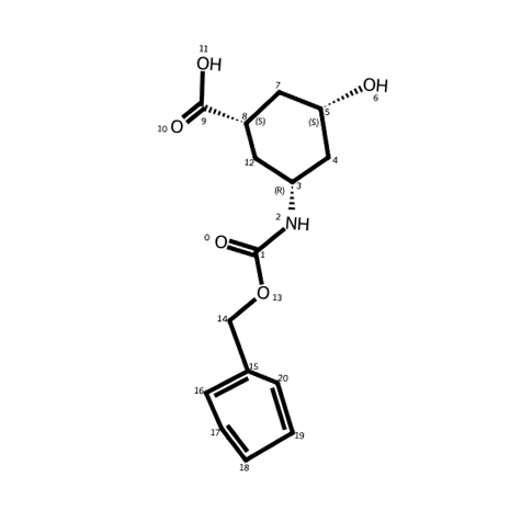 O=C(N[C@H]1C[C@@H](O)C[C@@H](C(=O)O)C1)OCc1ccccc1